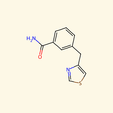 NC(=O)c1cccc(Cc2cscn2)c1